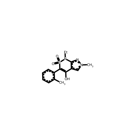 CCN1c2nn(C)cc2C(O)=C(c2ccccc2C)S1(=O)=O